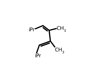 CC(=CC(C)C)C(C)=CC(C)C